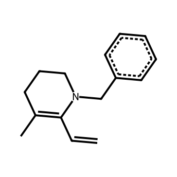 C=CC1=C(C)CCCN1Cc1ccccc1